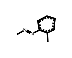 CN=Nc1ccccc1C